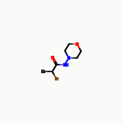 CCC(Br)C(=O)NN1CCOCC1